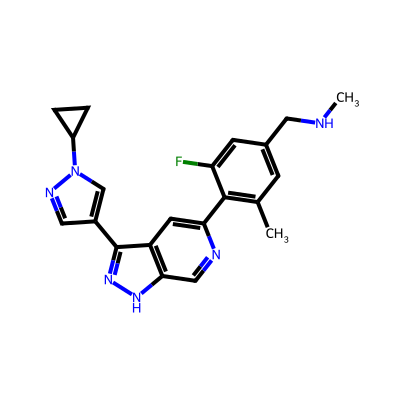 CNCc1cc(C)c(-c2cc3c(-c4cnn(C5CC5)c4)n[nH]c3cn2)c(F)c1